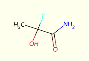 CC(O)(F)C(N)=O